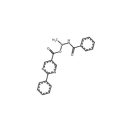 CN(NC(=O)c1ccccc1)OC(=O)c1cnc(-c2ccccc2)nc1